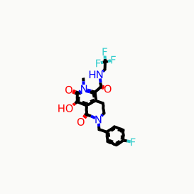 Cn1c(C(=O)NCC(F)(F)F)c2c(c(O)c1=O)C(=O)N(Cc1ccc(F)cc1)CC2